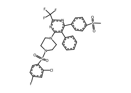 CS(=O)(=O)c1ccc(-c2nc(C(F)(F)F)nc(N3CCN(S(=O)(=O)c4ccc(F)cc4Cl)CC3)c2-c2ccccc2)cc1